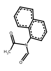 CC(=O)N([C]=O)c1cccc2ccccc12